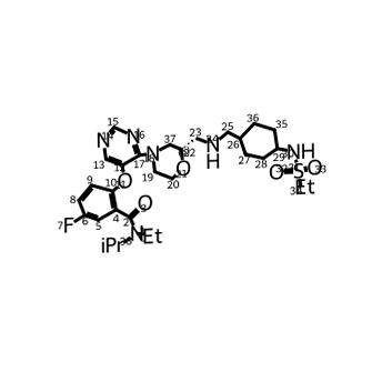 CCN(C(=O)c1cc(F)ccc1Oc1cncnc1N1CCO[C@@H](CNCC2CCC(NS(=O)(=O)CC)CC2)C1)C(C)C